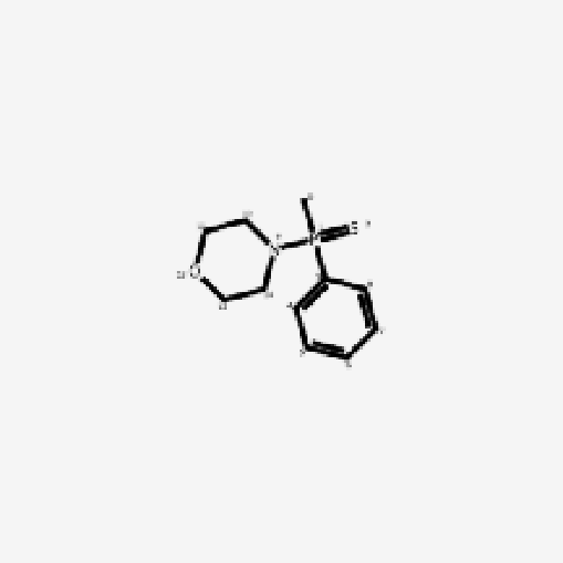 CP(=S)(c1ccccc1)N1CCOCC1